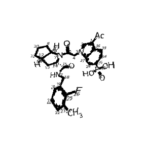 CC(=O)c1cn(CC(=O)N2[C@@H]3CCC[C@@H]3C[C@H]2C(=O)NCc2cccc(C)c2F)c2cc(P(=O)(O)O)ccc12